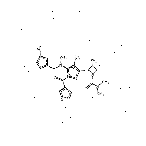 CC1CN(C(=O)N(C)C)C1c1nn(C(=O)c2ccsc2)c(N(C)Cc2ccc(Cl)s2)c1C#N